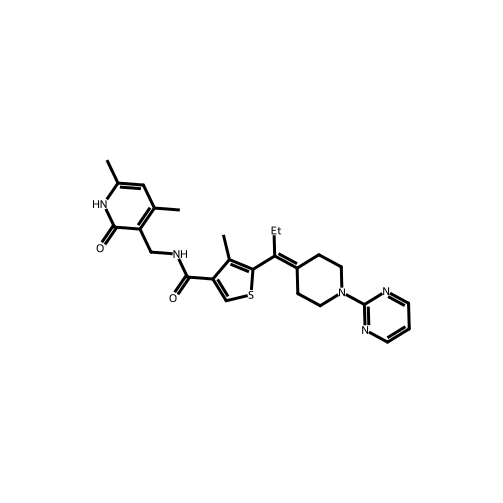 CCC(=C1CCN(c2ncccn2)CC1)c1scc(C(=O)NCc2c(C)cc(C)[nH]c2=O)c1C